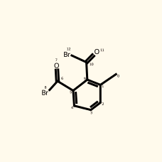 Cc1cccc(C(=O)Br)c1C(=O)Br